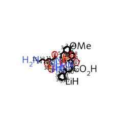 COc1ccc(CC(NC(=O)C(CCCCN)NS(C)(=O)=O)P(=O)(O)CC2(C(=O)N[C@@H](Cc3c[nH]c4ccccc34)C(=O)O)CCCC2)cc1.[LiH]